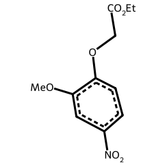 CCOC(=O)COc1ccc([N+](=O)[O-])cc1OC